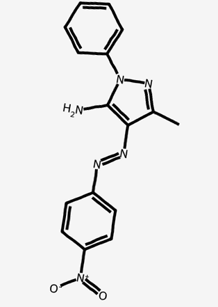 Cc1nn(-c2ccccc2)c(N)c1N=Nc1ccc([N+](=O)[O-])cc1